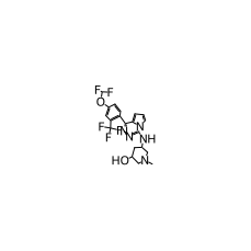 CN1CC(O)CC(Nc2nnc(-c3ccc(OC(F)F)cc3C(F)(F)F)c3cccn23)C1